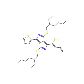 C=C/C=C(\SC)C1=C2C(SCC(CC)CCCC)=NC(c3cccs3)=C2C(SCC(CC)CCCC)=N1